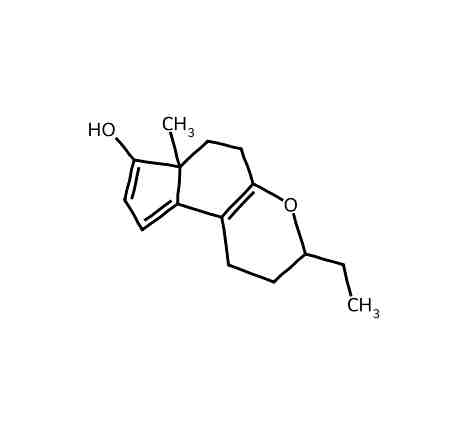 CCC1CCC2=C(CCC3(C)C(O)=CC=C23)O1